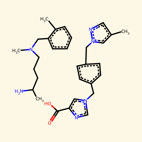 Cc1ccccc1CN(C)CCCC(C)N.Cc1cnn(Cc2ccc(Cn3cnc(C(=O)O)c3)cc2)c1